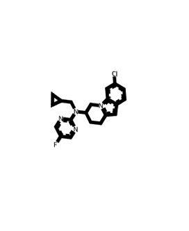 Fc1cnc(N(CC2CC2)C2CCc3cc4ccc(Cl)cc4n3C2)nc1